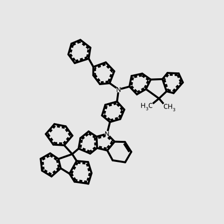 CC1(C)c2ccccc2-c2ccc(N(c3ccc(-c4ccccc4)cc3)c3ccc(-n4c5c(c6cc(C7(c8ccccc8)c8ccccc8-c8ccccc87)ccc64)CCC=C5)cc3)cc21